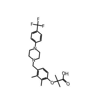 Cc1c(CN2CCN(c3ccc(C(F)(F)F)cc3)CC2)ccc(OC(C)(C)C(=O)O)c1C